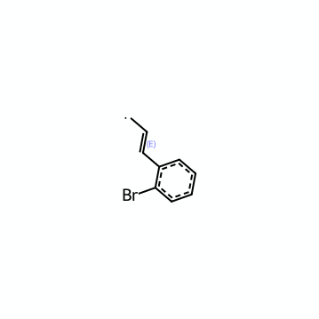 [CH2]/C=C/c1ccccc1Br